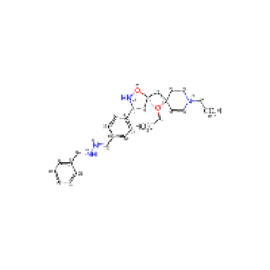 O=C(O)COC1(CC2CC(c3ccc(C=NNCc4ccccc4)cc3)NO2)CCN(CC(=O)O)CC1